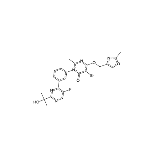 Cc1nc(COc2nc(C)n(-c3cccc(-c4nc(C(C)(C)O)ncc4F)c3)c(=O)c2Br)co1